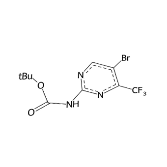 CC(C)(C)OC(=O)Nc1ncc(Br)c(C(F)(F)F)n1